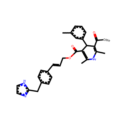 COC(=O)C1=C(C)NC(C)=C(C(=O)OCC=Cc2ccc(Cc3ncc[nH]3)cc2)C1c1cccc(C)c1